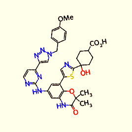 COc1ccc(Cn2cc(-c3ccnc(Nc4cc5c(c(-c6cnc(C7(O)CCC(C(=O)O)CC7)s6)c4)OC(C)(C)C(=O)N5)n3)nn2)cc1